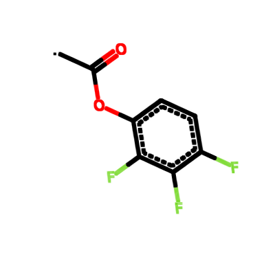 [CH2]C(=O)Oc1ccc(F)c(F)c1F